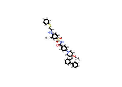 COC1(Cc2ccccc2-c2ccccc2)CCN(c2ccc(C(=O)NS(=O)(=O)c3ccc(NCCSc4ccccc4)c(C)c3)cc2)CC1